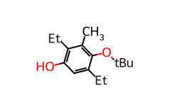 CCc1cc(O)c(CC)c(C)c1OC(C)(C)C